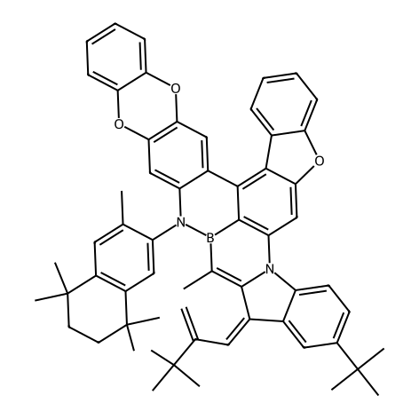 C=C(/C=c1\c2n(c3ccc(C(C)(C)C)cc13)-c1cc3oc4ccccc4c3c3c1B(C=2C)N(c1cc2c(cc1C)C(C)(C)CCC2(C)C)c1cc2c(cc1-3)Oc1ccccc1O2)C(C)(C)C